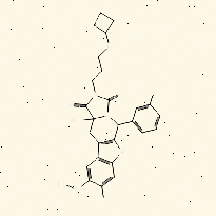 COc1cc2c3c([nH]c2cc1F)C(c1cccc(O)c1)N1C(=O)N(CCCNC2CCC2)C(=O)C1(C)C3